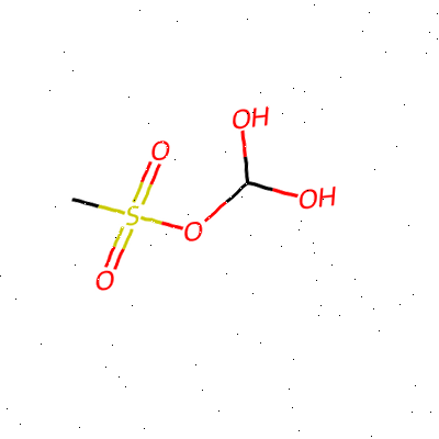 CS(=O)(=O)OC(O)O